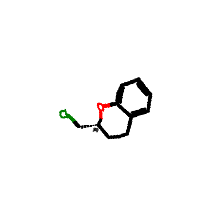 ClC[C@H]1CCc2ccccc2O1